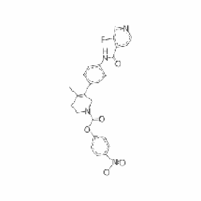 CC1=C(c2ccc(NC(=O)c3ccncc3F)cc2)CN(C(=O)Oc2ccc([N+](=O)[O-])cc2)CC1